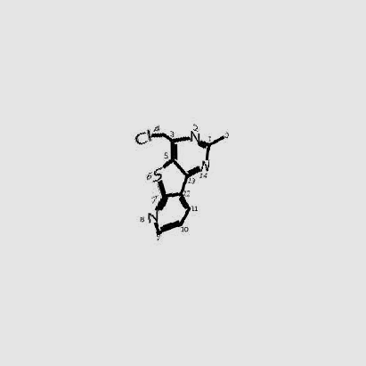 Cc1nc(Cl)c2sc3ncccc3c2n1